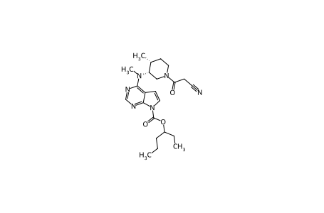 CCCC(CC)OC(=O)n1ccc2c(N(C)[C@H]3CN(C(=O)CC#N)CC[C@H]3C)ncnc21